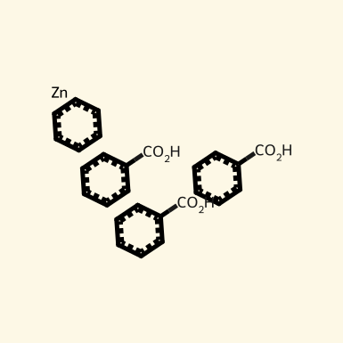 O=C(O)c1ccccc1.O=C(O)c1ccccc1.O=C(O)c1ccccc1.[Zn].c1ccccc1